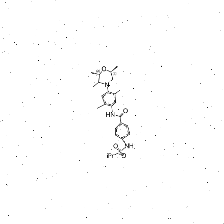 Cc1cc(N2C[C@H](C)O[C@H](C)C2C)c(C)cc1NC(=O)c1ccc(NS(=O)(=O)C(C)C)cc1